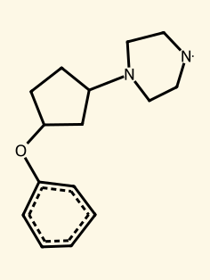 c1ccc(OC2CCC(N3CC[N]CC3)C2)cc1